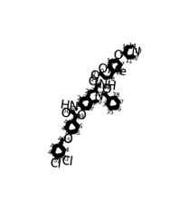 COC(=O)C(Cc1ccc(Oc2ccncc2)cc1)NC(=O)C1Cc2cc3c(cc2CN1C(=O)c1ccccc1)OC(c1ccc(OCc2ccc(Cl)c(Cl)c2)cc1)C(=O)N3